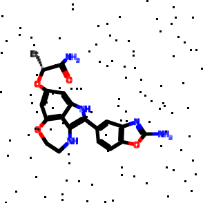 CC[C@@H](Oc1cc2c3c(c(-c4ccc5oc(N)nc5c4)[nH]c3c1)NCCO2)C(N)=O